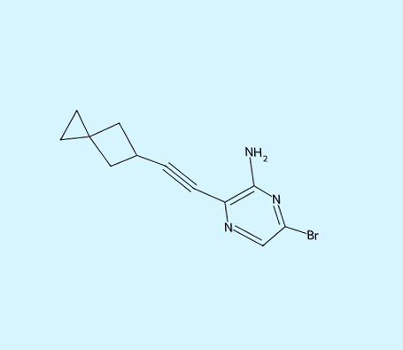 Nc1nc(Br)cnc1C#CC1CC2(CC2)C1